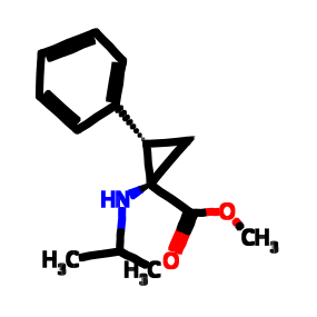 COC(=O)[C@@]1(NC(C)C)C[C@H]1c1ccccc1